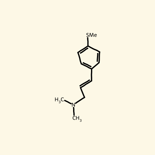 CSc1ccc(C=CCN(C)C)cc1